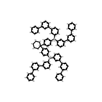 c1ccc(-c2cccc(-c3cccc(N(c4ccc(C5(c6ccc(N(c7cccc(-c8cccc(-c9ccccc9)c8)c7)c7cccc(-c8cccc(-c9ccccc9)c8)c7)cc6)CCCCC5)cc4)c4cccc(-c5cccc(-c6ccccc6)c5)c4)c3)c2)cc1